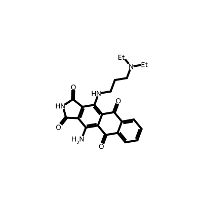 CCN(CC)CCCNc1c2c(=O)[nH]c(=O)c2c(N)c2c(=O)c3ccccc3c(=O)c12